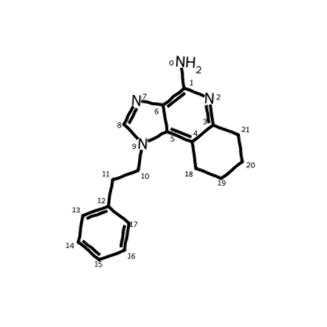 Nc1nc2c(c3c1ncn3CCc1ccccc1)CCCC2